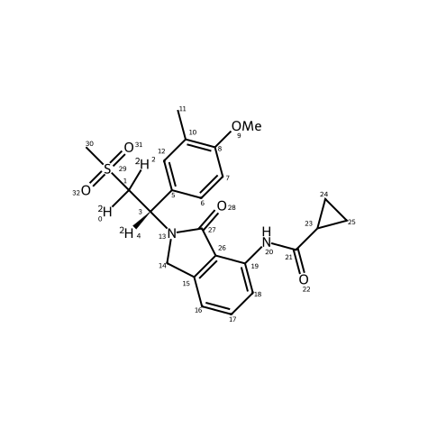 [2H]C([2H])([C@]([2H])(c1ccc(OC)c(C)c1)N1Cc2cccc(NC(=O)C3CC3)c2C1=O)S(C)(=O)=O